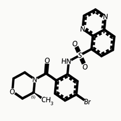 C[C@H]1COCCN1C(=O)c1ccc(Br)cc1NS(=O)(=O)c1cccc2nccnc12